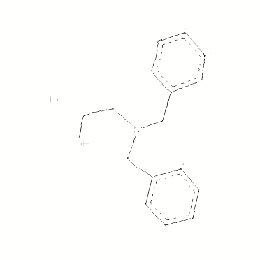 C[C@@H](O)CN(Cc1ccccc1)Cc1ccccc1